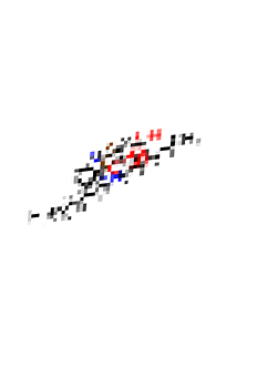 CCCCCCCCNCCCCCCCC.O=C(O)CC(Sc1nc2ccccc2s1)C(=O)O